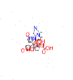 COc1ccc(C(c2ccccc2)(c2ccc(OC)cc2)[C@@]2(O)CCC(C(C)C(=O)O)[C@]2(O)OP(O)NC(CC#N)N(C(C)C)C(C)C)cc1